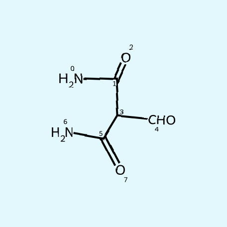 NC(=O)C(C=O)C(N)=O